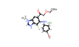 COCOCC(=O)c1cc2c(ncn2C)c(F)c1Nc1ccc(Br)cc1Cl